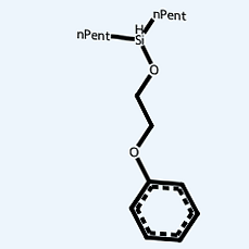 CCCCC[SiH](CCCCC)OCCOc1ccccc1